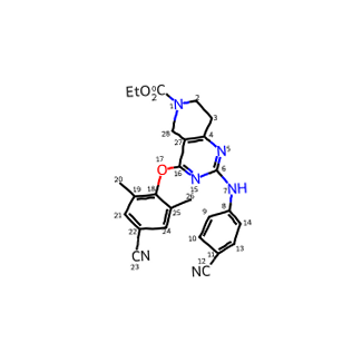 CCOC(=O)N1CCc2nc(Nc3ccc(C#N)cc3)nc(Oc3c(C)cc(C#N)cc3C)c2C1